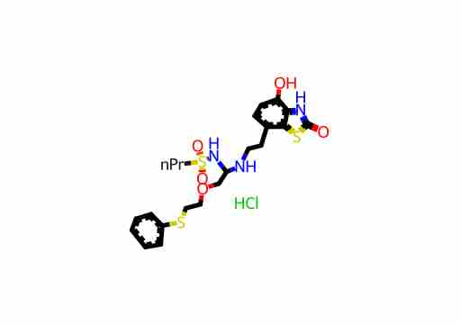 CCCS(=O)(=O)NC(COCCSc1ccccc1)NCCc1ccc(O)c2[nH]c(=O)sc12.Cl